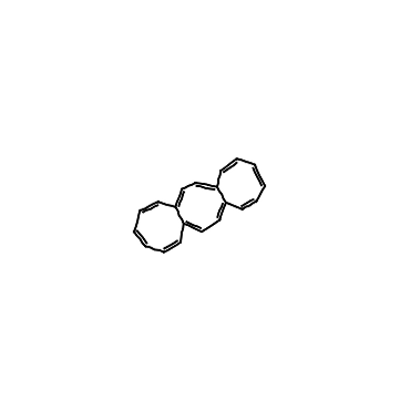 c1cccc2ccc3ccccccc3ccc2cc1